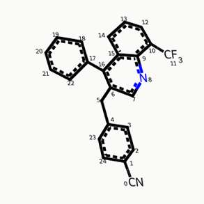 N#Cc1ccc(Cc2cnc3c(C(F)(F)F)cccc3c2-c2ccccc2)cc1